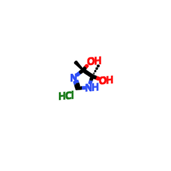 C[C@]1(O)N=CN[C@]1(C)O.Cl